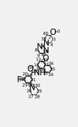 COC1CCN(c2nccc(Oc3ccc(NC(=O)c4cc(F)cc(N5CCCCC5)c4)c4ccccc34)n2)CC1